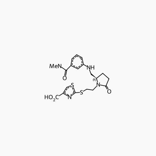 CNC(=O)c1cccc(NC[C@H]2CCC(=O)N2CCSc2nc(C(=O)O)cs2)c1